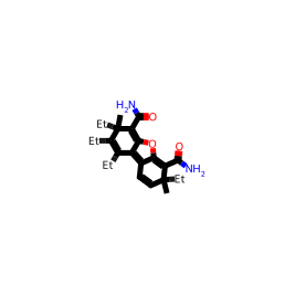 CCC1=C(CC)C(C)(CC)C(C(N)=O)=c2oc3c(c21)C=CC(C)(CC)C=3C(N)=O